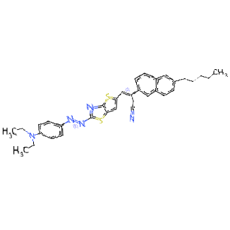 CCCCCc1ccc2cc(/C(C#N)=C/c3cc4sc(/N=N/c5ccc(N(CC)CC)cc5)nc4s3)ccc2c1